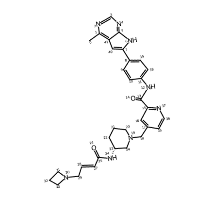 Cc1ncnc2[nH]c(-c3ccc(NC(=O)c4cc(CN5CCC[C@@H](NC(=O)/C=C/CN6CCC6)C5)ccn4)cc3)cc12